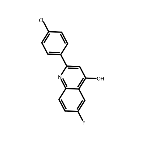 Oc1cc(-c2ccc(Cl)cc2)nc2ccc(F)cc12